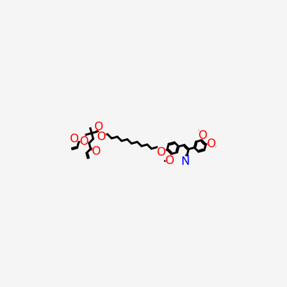 C=CC(=O)CCC(C)(COC(=O)C=C)C(=O)OCCCCCCCCCCCOc1ccc(/C=C(\C#N)c2ccc(OC)c(OC)c2)cc1OC